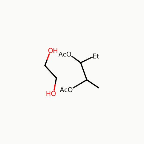 CCC(OC(C)=O)C(C)OC(C)=O.OCCO